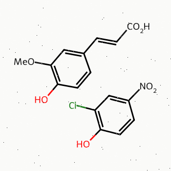 COc1cc(C=CC(=O)O)ccc1O.O=[N+]([O-])c1ccc(O)c(Cl)c1